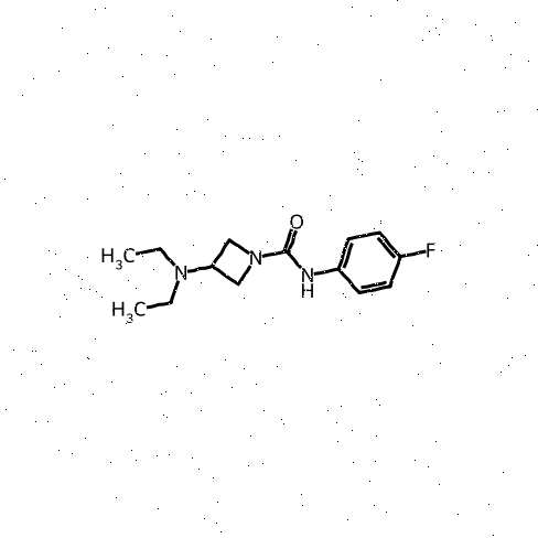 CCN(CC)C1CN(C(=O)Nc2ccc(F)cc2)C1